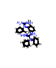 Cc1ccccc1N(C(=N)N)c1ccccc1C.N=C(N)N(c1ccccc1)c1ccccc1